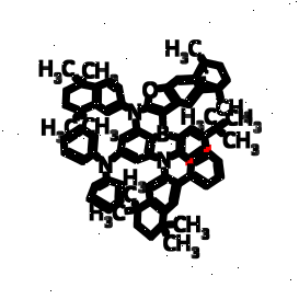 CC(C)(C)c1ccc2c(c1)B1c3c(cc(N(c4ccccc4)c4ccccc4)cc3N(c3ccc4c(c3)C(C)(C)CCC4(C)C)c3oc4cc5c(cc4c31)C1(C)CCC5(C)CC1)N2c1cc2c(cc1-c1ccccc1)C(C)(C)CCC2(C)C